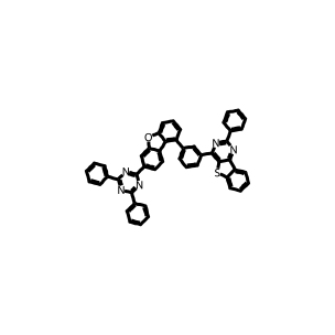 c1ccc(-c2nc(-c3ccccc3)nc(-c3ccc4c(c3)oc3cccc(-c5cccc(-c6nc(-c7ccccc7)nc7c6sc6ccccc67)c5)c34)n2)cc1